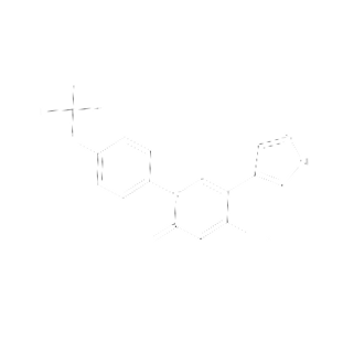 Cc1cc(=O)n(-c2ccc(OC(F)(F)F)cc2)cc1-c1cn[nH]c1